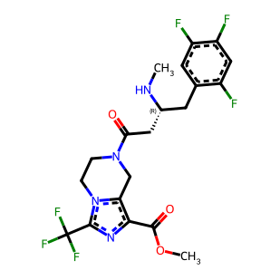 CN[C@@H](CC(=O)N1CCn2c(C(F)(F)F)nc(C(=O)OC)c2C1)Cc1cc(F)c(F)cc1F